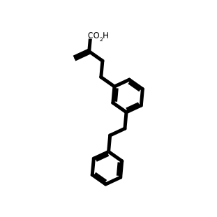 C=C(CCc1cccc(CCc2ccccc2)c1)C(=O)O